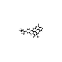 Cc1ccnc(C(C)C)c1-n1c(=O)nc(N2CCN(C(=O)OC(C)(C)C)C[C@@H]2C)c2cc(F)c(Br)c(F)c21